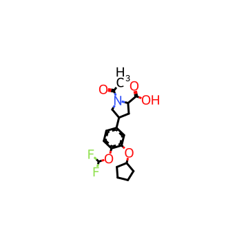 CC(=O)N1CC(c2ccc(OC(F)F)c(OC3CCCC3)c2)CC1C(=O)O